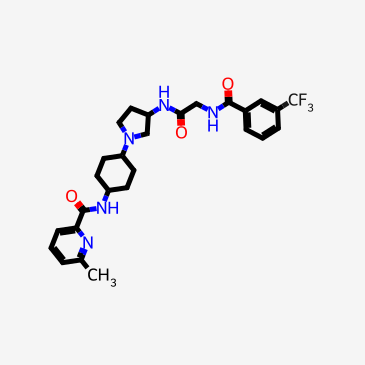 Cc1cccc(C(=O)NC2CCC(N3CCC(NC(=O)CNC(=O)c4cccc(C(F)(F)F)c4)C3)CC2)n1